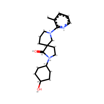 Cc1cccnc1N1CCCC2(CCN(C3CCC(O)CC3)C2=O)C1